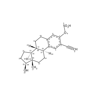 C#Cc1cc2c(cc1OS(=O)(=O)O)CC[C@@H]1[C@@H]2CC[C@]2(C)[C@@H](O)CC[C@@H]12